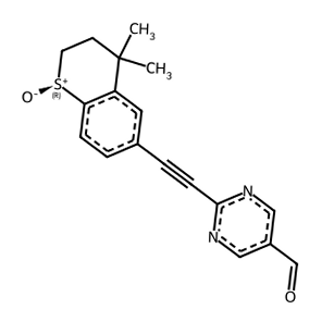 CC1(C)CC[S@+]([O-])c2ccc(C#Cc3ncc(C=O)cn3)cc21